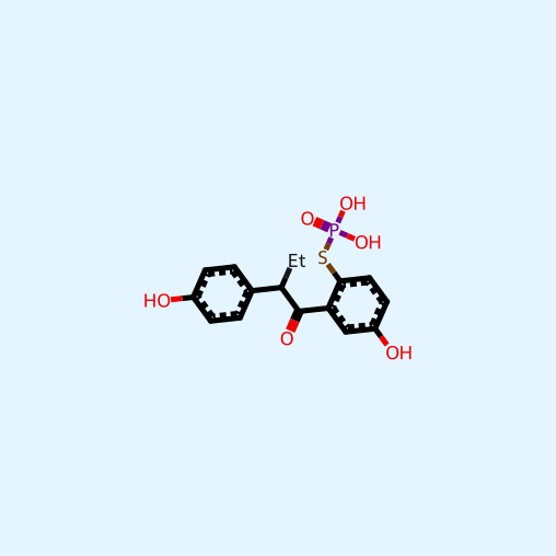 CCC(C(=O)c1cc(O)ccc1SP(=O)(O)O)c1ccc(O)cc1